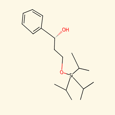 CC(C)[Si](OCC[C@@H](O)c1ccccc1)(C(C)C)C(C)C